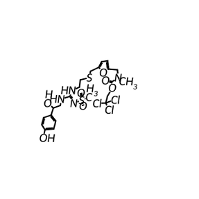 CN(Cc1ccc(CSCCNC(=NS(C)(=O)=O)NCC(O)c2ccc(O)cc2)o1)C(=O)OCC(Cl)(Cl)Cl